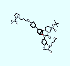 COCCCN1C(=O)COc2ccc(N(C(=O)[C@H]3CN(C(=O)OC(C)(C)C)CC[C@@H]3c3cccc(-c4ccc(OCCCN5CCCC5C(=O)OC)cc4)c3)C3CC3)cc21